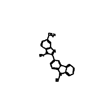 CCn1c2ccccc2c2cc(-c3nc4cc(C(=O)O)ccc4n3C(C)C)ccc21